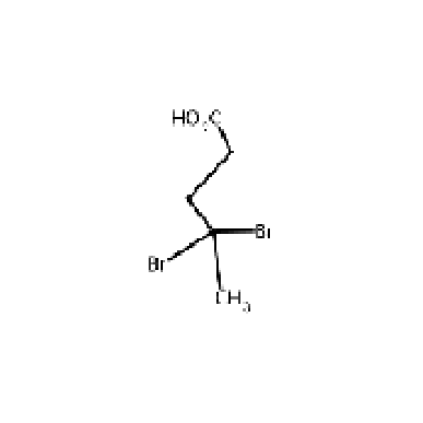 CC(Br)(Br)CCC(=O)O